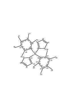 Cc1c(C)c(C)[c]([Ti]([C]2=CC=CC2)([C]2=CC=CC2)[c]2c(C)c(C)c(C)c(C)c2C)c(C)c1C